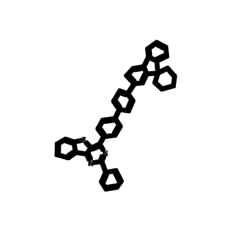 c1ccc(-c2nc(-c3ccc(-c4ccc(-c5ccc6c(c5)C5(CCCCC5)c5ccccc5-6)cc4)cc3)c3sc4ccccc4c3n2)cc1